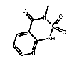 CN1C(=O)c2cccnc2NS1(=O)=O